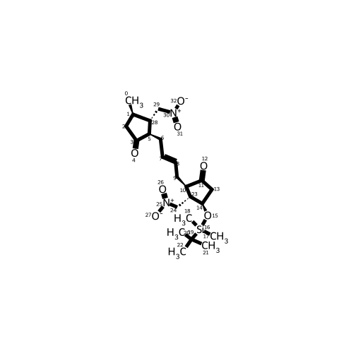 C[C@@H]1CC(=O)[C@H](C/C=C/C[C@H]2C(=O)C[C@@H](O[Si](C)(C)C(C)(C)C)[C@@H]2C[N+](=O)[O-])[C@H]1C[N+](=O)[O-]